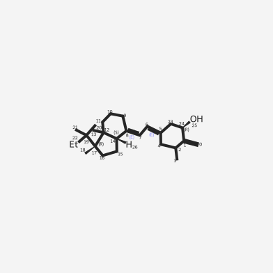 C=C1C(C)C/C(=C\C=C2/CCCC3(C)[C@H]2CC[C@]3(C)C(C)(C)CC)C[C@H]1O